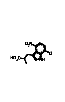 CC(Cc1c[nH]c2c(Cl)ccc([N+](=O)[O-])c12)C(=O)O